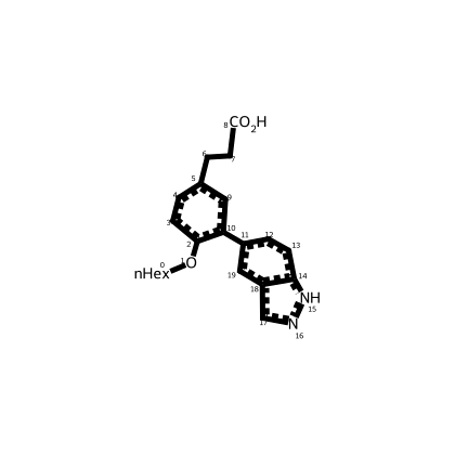 CCCCCCOc1ccc(CCC(=O)O)cc1-c1ccc2[nH]ncc2c1